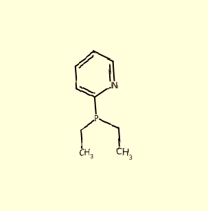 CCP(CC)c1ccccn1